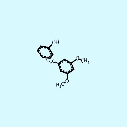 COc1cc(C)cc(OC)c1.Oc1ccccc1